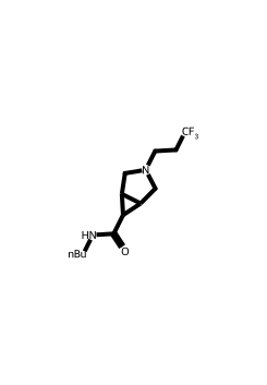 CCCCNC(=O)C1C2CN(CCC(F)(F)F)CC21